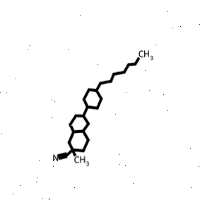 CCCCCCCC1CCC(C2CCC3CC(C)(C#N)CCC3C2)CC1